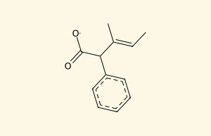 CC=C(C)C(C([O])=O)c1ccccc1